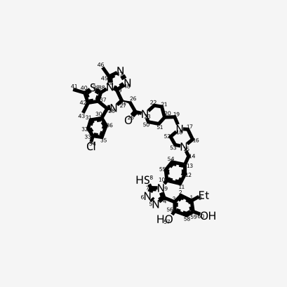 CCc1cc(-c2nnc(S)n2-c2ccc(CN3CCN(CC4CCN(C(=O)C[C@H]5N=C(c6ccc(Cl)cc6)c6c(sc(C)c6C)-n6c(C)nnc65)CC4)CC3)cc2)c(O)cc1O